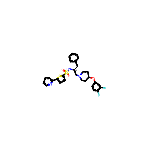 O=S(=O)(N[C@@H](Cc1ccccc1)CN1CCC(Oc2ccc(F)c(F)c2)CC1)c1ccc(-c2ccccn2)s1